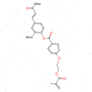 C=C(C)C(=O)OCCOc1ccc(C(=O)Oc2ccc(C=CC(=O)OC)cc2OC)cc1